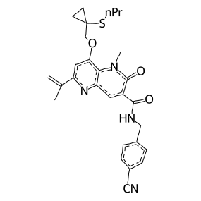 C=C(C)c1cc(OCC2(SCCC)CC2)c2c(cc(C(=O)NCc3ccc(C#N)cc3)c(=O)n2C)n1